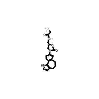 O=C(CC(F)(F)F)NCC1CN(c2ccc3c(c2)CCCc2cn[nH]c2-3)C(=O)O1